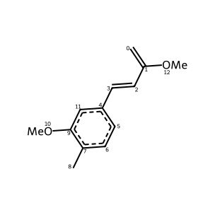 C=C(/C=C/c1ccc(C)c(OC)c1)OC